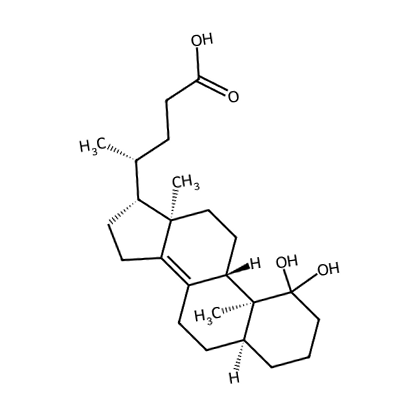 C[C@H](CCC(=O)O)[C@H]1CCC2=C3CC[C@@H]4CCCC(O)(O)[C@]4(C)[C@H]3CC[C@@]21C